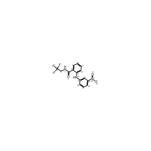 O=C(NCC(F)(F)F)c1ccccc1Nc1cccc([N+](=O)[O-])c1